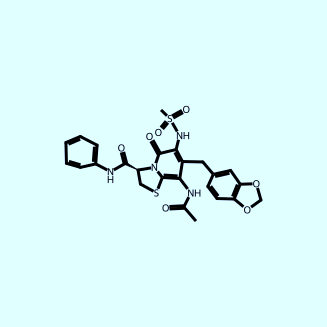 CC(=O)Nc1c(Cc2ccc3c(c2)OCO3)c(NS(C)(=O)=O)c(=O)n2c1SC[C@H]2C(=O)Nc1ccccc1